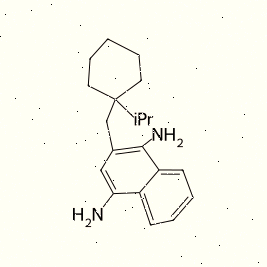 CC(C)C1(Cc2cc(N)c3ccccc3c2N)CCCCC1